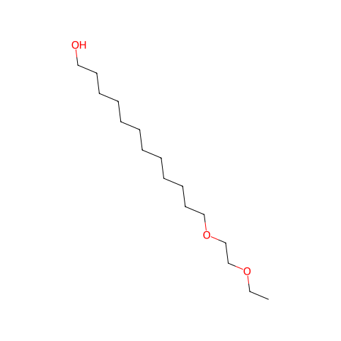 CCOCCOCCCCCCCCCCCCO